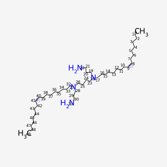 CCCCCCCC/C=C\CCCCCCCCN(CCCN)CCCCN(CCCN)CCCCCCCC/C=C\CCCCCCCC